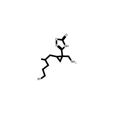 CC(C)CCCC(C)CC1CC1(CN)c1noc(=O)[nH]1